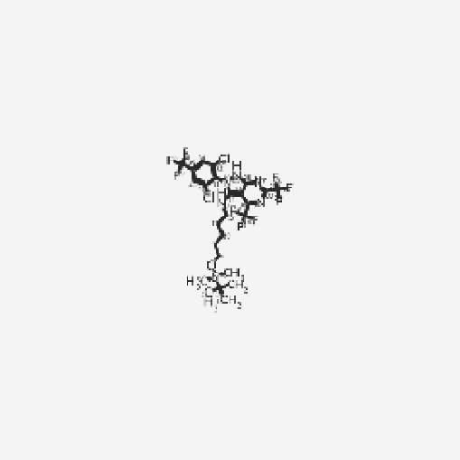 CC(C)(C)[Si](C)(C)OCCCCCNC1=C2C(C(F)(F)F)=NC(C(F)(F)F)=NC2NN1c1c(Cl)cc(C(F)(F)F)cc1Cl